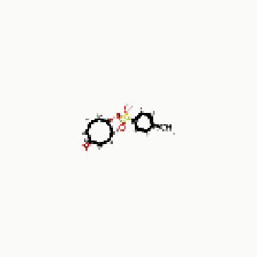 Cc1ccc(S(=O)(=O)OC2CCCC(=O)CCC2)cc1